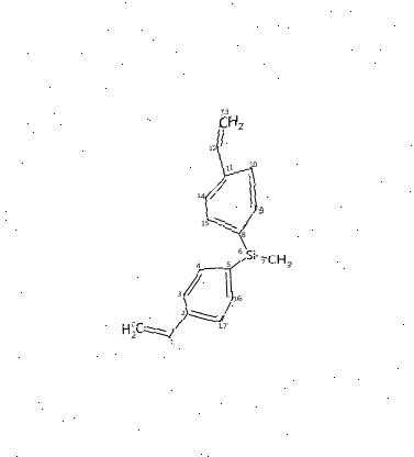 C=Cc1ccc([Si](C)c2ccc(C=C)cc2)cc1